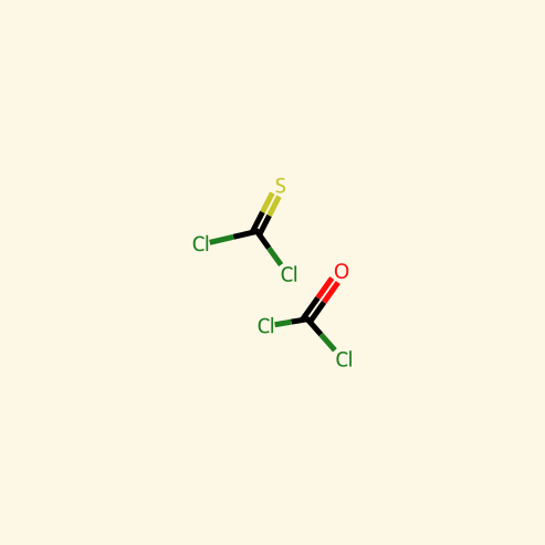 O=C(Cl)Cl.S=C(Cl)Cl